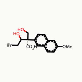 COc1ccc2cc([C@@](CO)(C(=O)O)C(O)CC(C)C)ccc2c1